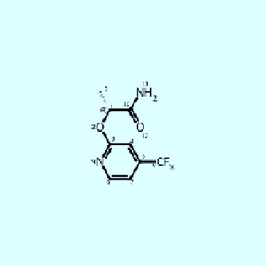 C[C@@H](Oc1cc(C(F)(F)F)ccn1)C(N)=O